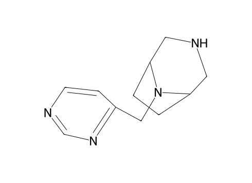 c1cc(CN2C3CCC2CNC3)ncn1